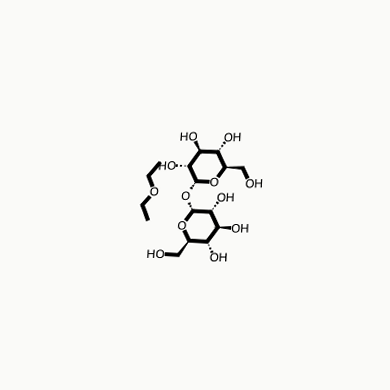 CCOCC.OC[C@H]1O[C@H](O[C@H]2O[C@H](CO)[C@@H](O)[C@H](O)[C@H]2O)[C@H](O)[C@@H](O)[C@@H]1O